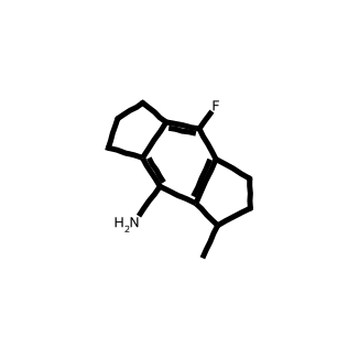 CC1CCc2c(F)c3c(c(N)c21)CCC3